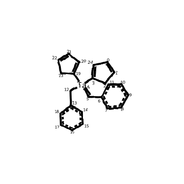 C1=CC[C]([Ta](=[CH]c2ccccc2)([CH2]c2ccccc2)[C]2=CC=CC2)=C1